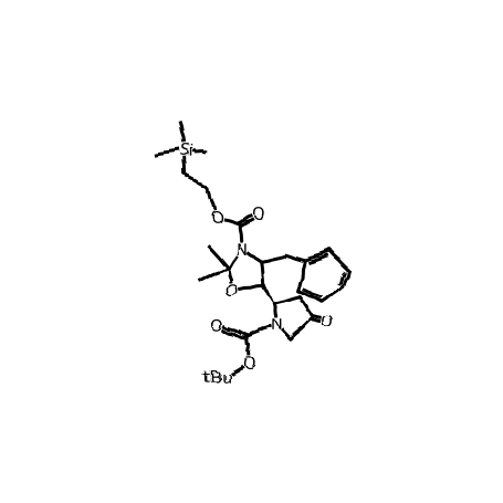 CC(C)(C)OC(=O)N1CC(=O)C[C@@H]1C1OC(C)(C)N(C(=O)OCC[Si](C)(C)C)C1Cc1ccccc1